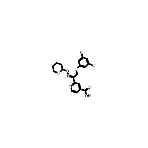 O=C(O)c1ccnc(/C(COc2cc(Cl)cc(Cl)c2)=N/OC2CCCCO2)c1